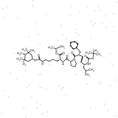 CC(C)C[C@@H](/C=C/[C@H](Cc1ccccc1)C(=O)N1CCC[C@H]1C(=O)N[C@@H](CCCCNC(=O)OC1CC(C)(C)N(C)C(C)(C)C1)C(=O)OC(C)C)NC(=O)OC(C)(C)C